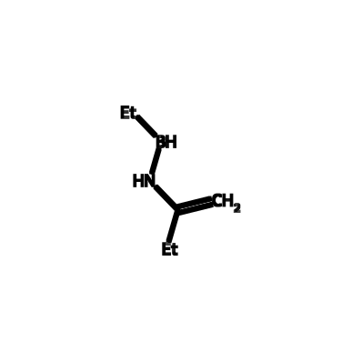 C=C(CC)NBCC